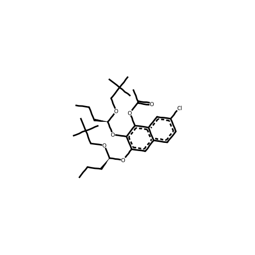 CCC[C@@H](OCC(C)(C)C)Oc1cc2ccc(Cl)cc2c(OC(C)=O)c1O[C@@H](CCC)OCC(C)(C)C